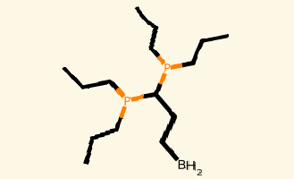 BCCC(P(CCC)CCC)P(CCC)CCC